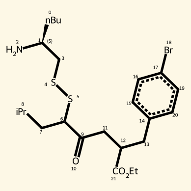 CCCC[C@H](N)CSSC(CC(C)C)C(=O)CC(Cc1ccc(Br)cc1)C(=O)OCC